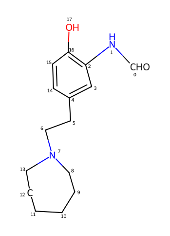 O=CNc1cc(CCN2CCCCCC2)ccc1O